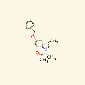 CC(=O)C(C)n1cc(C)c2cc(OCc3ccccc3)ccc21